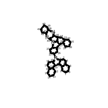 c1ccc2c(c1)ccc1c2c2c3ccccc3ccc2n1-c1ccc2c(c1)c1c3ccccc3cc3c4nc5ccccc5nc4n2c31